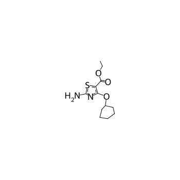 CCOC(=O)c1sc(N)nc1OC1CCCCC1